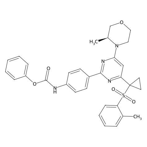 Cc1ccccc1S(=O)(=O)C1(c2cc(N3CCOC[C@@H]3C)nc(-c3ccc(NC(=O)Oc4ccccc4)cc3)n2)CC1